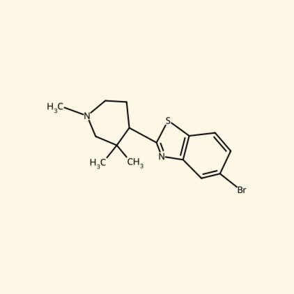 CN1CCC(c2nc3cc(Br)ccc3s2)C(C)(C)C1